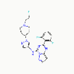 FCCN1CCC(n2cc(Nc3nc(-c4c(F)cccc4F)nc4ccnn34)cn2)CC1